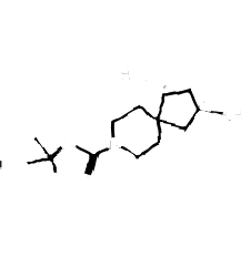 C[C@@H]1C[C@@H](C)C2(CCN(C(=O)OC(C)(C)C)CC2)C1